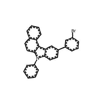 Brc1cccc(-c2ccc3c(c2)c2c4ccccc4ccc2n3-c2ccccc2)c1